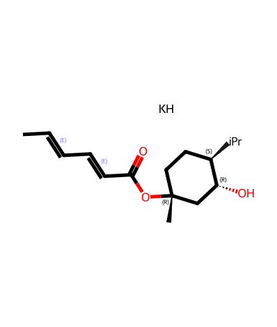 C/C=C/C=C/C(=O)O[C@]1(C)CC[C@@H](C(C)C)[C@H](O)C1.[KH]